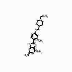 CCN1CCC(COc2ccc(-c3nc4c(N)nc(N)nc4[nH]3)c(C)c2)CC1